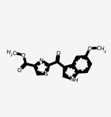 COC(=O)c1csc(C(=O)c2c[nH]c3ccc(OC)cc23)n1